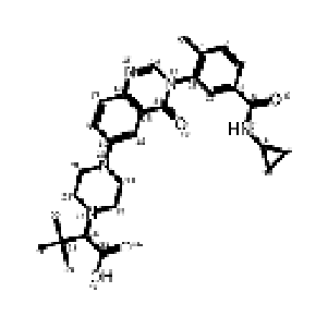 Cc1ccc(C(=O)NC2CC2)cc1-n1cnc2ccc(N3CCN(C(C(=O)O)C(C)(C)C)CC3)cc2c1=O